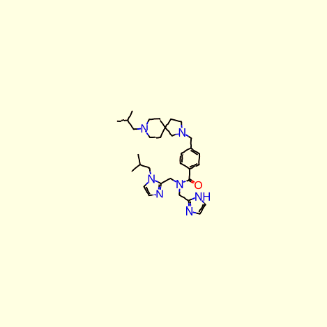 CC(C)CN1CCC2(CC1)CCN(Cc1ccc(C(=O)N(Cc3ncc[nH]3)Cc3nccn3CC(C)C)cc1)C2